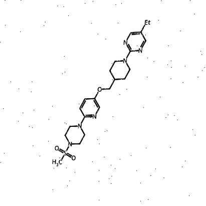 CCc1cnc(N2CCC(COc3ccc(N4CCN(S(C)(=O)=O)CC4)nc3)CC2)nc1